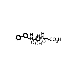 O=C(O)CCC(=O)Nc1cc(O)c(C(=O)NCc2cccc(-c3ccccc3)c2)cn1